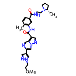 COCCn1cc(-c2cn3ncc(C(=O)Nc4cc(C(=O)NCCN5CCC[C@@H]5C)ccc4C)c3cn2)cn1